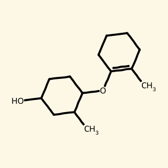 CC1=C(OC2CCC(O)CC2C)CCCC1